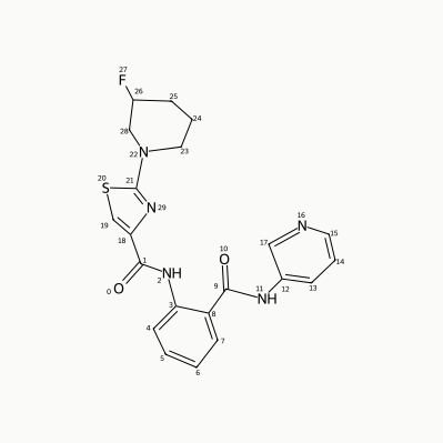 O=C(Nc1ccccc1C(=O)Nc1cccnc1)c1csc(N2CCCC(F)C2)n1